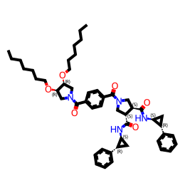 CCCCCCCO[C@@H]1CN(C(=O)c2ccc(C(=O)N3C[C@@H](C(=O)N[C@H]4C[C@@H]4c4ccccc4)[C@H](C(=O)N[C@H]4C[C@@H]4c4ccccc4)C3)cc2)C[C@H]1OCCCCCCC